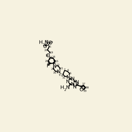 Nc1nc(N2CCC[C@@H](CN3CCN(c4ccc(OCCCS(N)(=O)=O)cc4F)CC3)C2)nc2nc(-c3ccco3)nn12